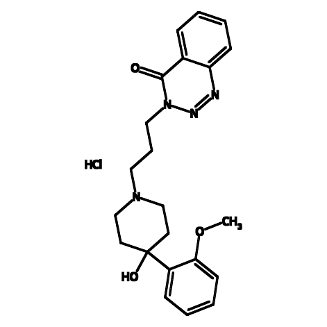 COc1ccccc1C1(O)CCN(CCCn2nnc3ccccc3c2=O)CC1.Cl